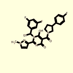 CCC(c1cc(F)cc(F)c1)n1c(-c2ccn(C)n2)nc(=O)c(C(=O)N2CCC(c3ccc(F)cc3)C2)c1O